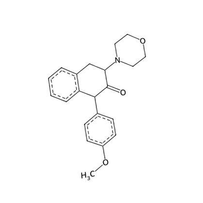 COc1ccc(C2C(=O)C(N3CCOCC3)Cc3ccccc32)cc1